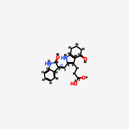 O=C(O)CCc1c(/C=C2\C(=O)Nc3ccccc32)[nH]c2c1C(=O)CCC2